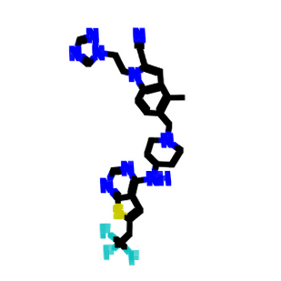 Cc1c(CN2CCC(Nc3ncnc4sc(CC(F)(F)F)cc34)CC2)ccc2c1cc(C#N)n2CCn1cncn1